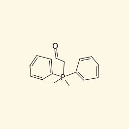 CP(C)(CC=O)(c1ccccc1)c1ccccc1